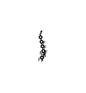 C=CCCc1ccc(-c2ccc(-c3ccc(-c4cc(F)c(C(F)(F)Oc5ccc(F)c(F)c5)c(F)c4)c(F)c3)c(F)c2)cc1